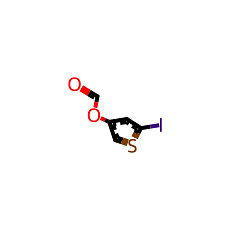 O=COc1csc(I)c1